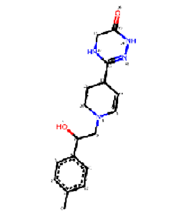 Cc1ccc(C(O)CN2C=CC(C3=NNC(=O)CN3)CC2)cc1